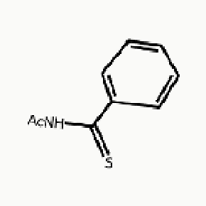 CC(=O)NC(=S)c1ccccc1